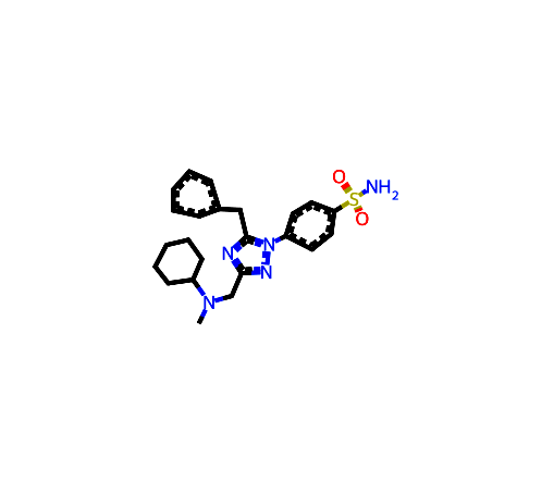 CN(Cc1nc(Cc2ccccc2)n(-c2ccc(S(N)(=O)=O)cc2)n1)C1CCCCC1